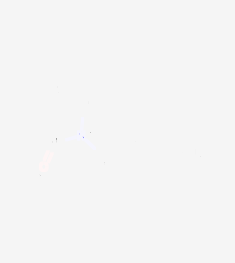 CC=CCN1CCCC1=O